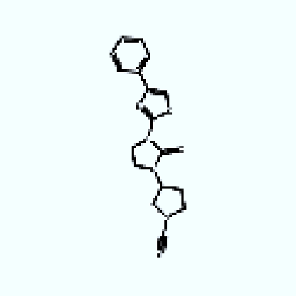 N#CN1CCC(N2CCN(c3nc(-c4ccccc4)cs3)C2=O)C1